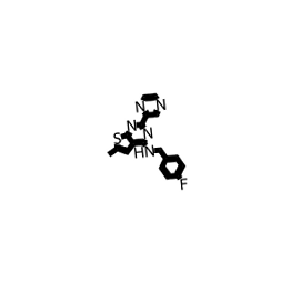 Cc1cc2c(NCc3ccc(F)cc3)nc(-c3cnccn3)nc2s1